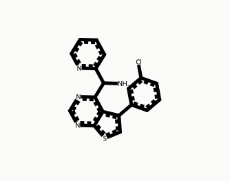 NC(c1ccccn1)c1ncnc2scc(-c3cccc(Cl)c3)c12